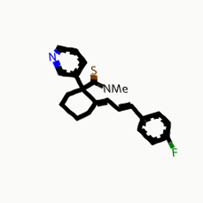 CNC(=S)C1(c2cccnc2)CCCCC1=CC=Cc1ccc(F)cc1